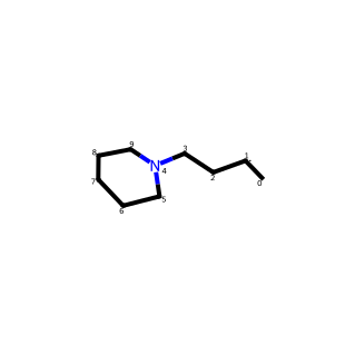 C[CH]CCN1CCCCC1